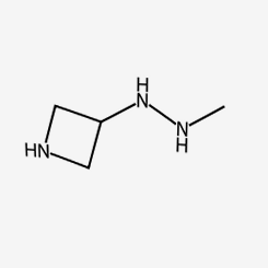 CNNC1CNC1